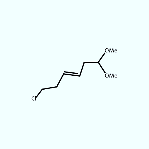 COC(C/C=C/CCCl)OC